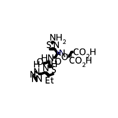 CCC1=C(c2nnn[nH]2)N2C(=O)[C@H](NC(=O)/C(=N\O[C@@H](CC(=O)O)C(=O)O)c3csc(N)n3)[C@H]2SC1